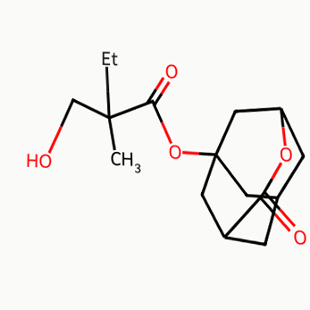 CCC(C)(CO)C(=O)OC12CC3CC(C1)OC(=O)C(C3)C2